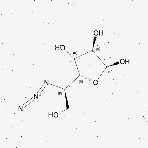 [N-]=[N+]=N[C@H](CO)[C@H]1O[C@H](O)[C@H](O)[C@H]1O